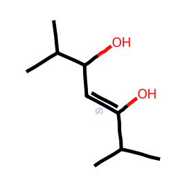 CC(C)/C(O)=C/C(O)C(C)C